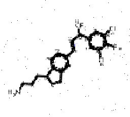 NCCCC1CCc2cc(/C=C/C(c3cc(Cl)c(F)c(Cl)c3)C(F)(F)F)ccc21